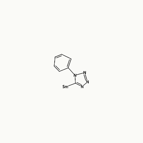 [Sm][c]1nnnn1-c1ccccc1